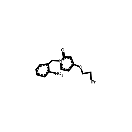 CC(C)CCOc1ccn(Cc2ccccc2[N+](=O)[O-])c(=O)c1